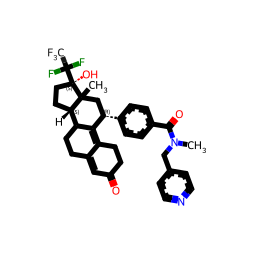 CN(Cc1ccncc1)C(=O)c1ccc([C@H]2CC3(C)[C@@H](CC[C@@]3(O)C(F)(F)C(F)(F)F)C3CCC4=CC(=O)CCC4=C32)cc1